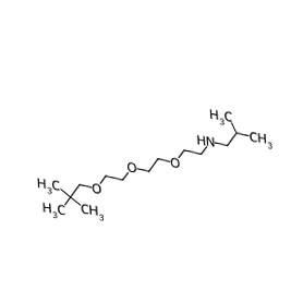 CC(C)CNCCOCCOCCOCC(C)(C)C